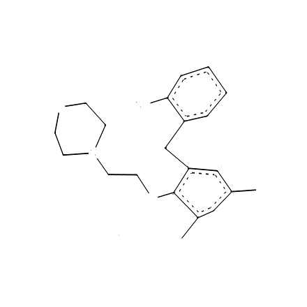 Cc1cc(C)c(OCCN2CCOCC2)c(Cc2ccccc2C#N)c1.Cl